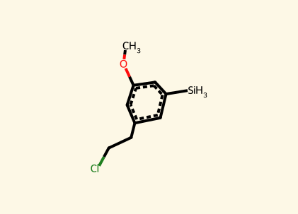 COc1cc([SiH3])cc(CCCl)c1